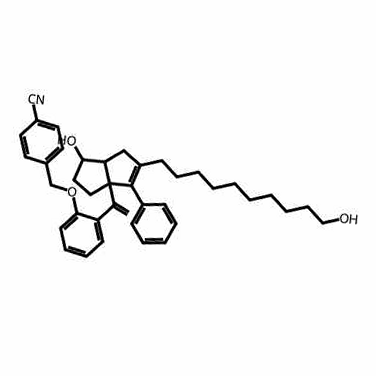 C=C(c1ccccc1OCc1ccc(C#N)cc1)C12CCC(O)C1CC(CCCCCCCCCCO)=C2c1ccccc1